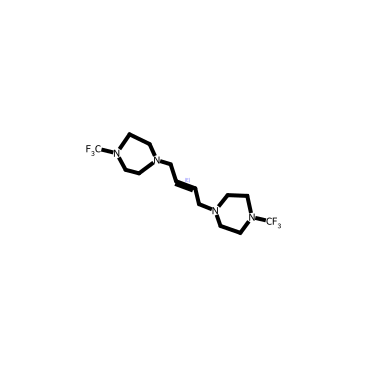 FC(F)(F)N1CCN(C/C=C/CN2CCN(C(F)(F)F)CC2)CC1